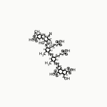 COc1cc2nc3c(C#N)c(C)c(N=Nc4cc(C)c(N=Nc5cc(C)c(N=Nc6nc7c(S(=O)(=O)O)cc8c(CO)cc(S(=O)(=O)O)cc8c7s6)cc5SCCCS(=O)(=O)O)cc4OCCCS(=O)(=O)O)c(O)n3c2cc1S(=O)(=O)O